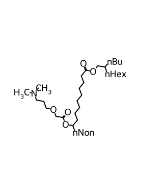 CCCCCCCCCC(CCCCCCCCC(=O)OCC(CCCC)CCCCCC)OC(=O)COCCCN(C)C